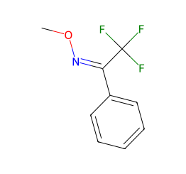 CON=C(c1ccccc1)C(F)(F)F